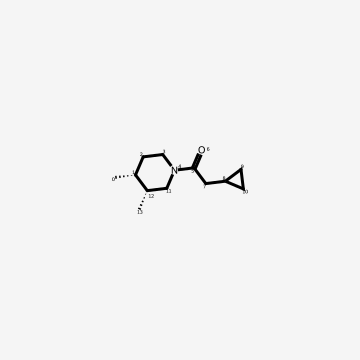 C[C@@H]1CCN(C(=O)CC2CC2)C[C@@H]1C